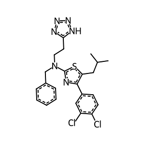 CC(C)Cc1sc(N(CCc2nnn[nH]2)Cc2ccccc2)nc1-c1ccc(Cl)c(Cl)c1